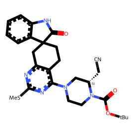 CSc1nc2c(c(N3CCN(C(=O)OC(C)(C)C)[C@@H](CC#N)C3)n1)CCC1(C2)C(=O)Nc2ccccc21